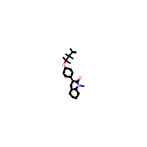 C=C(C)C(C)(C)C(C)(C)Oc1ccc(-c2cc3ccccc3n(C)c2=O)cc1